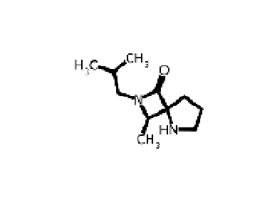 CC(C)CN1C(=O)C2(CCCN2)C1C